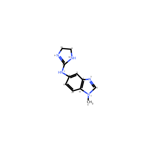 Cn1cnc2cc(NC3=NCCN3)ccc21